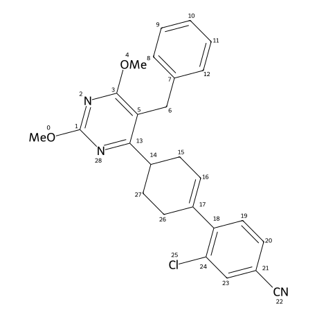 COc1nc(OC)c(Cc2ccccc2)c(C2CC=C(c3ccc(C#N)cc3Cl)CC2)n1